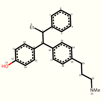 CCC(c1ccccc1)C(c1ccc(O)cc1)c1ccc(CCCNC)cc1